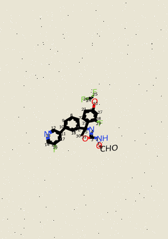 O=CONC1=NC(c2cccc(-c3cncc(F)c3)c2)(c2ccc(OC(F)F)cc2F)CO1